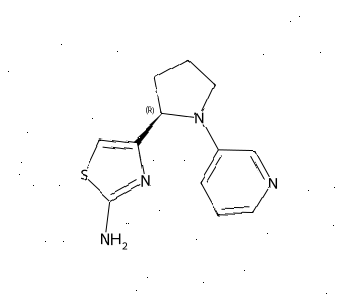 Nc1nc([C@H]2CCCN2c2cccnc2)cs1